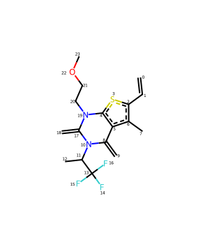 C=Cc1sc2c(c1C)C(=C)N(C(C)C(F)(F)F)C(=C)N2CCOC